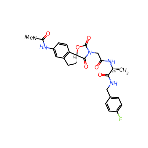 CNC(=O)Nc1ccc2c(c1)CC[C@@]21OC(=O)N(CC(=O)N[C@@H](C)C(=O)NCc2ccc(F)cc2)C1=O